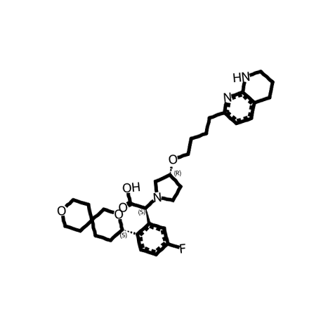 O=C(O)[C@H](c1cc(F)ccc1[C@@H]1CCC2(CCOCC2)CO1)N1CC[C@@H](OCCCCc2ccc3c(n2)NCCC3)C1